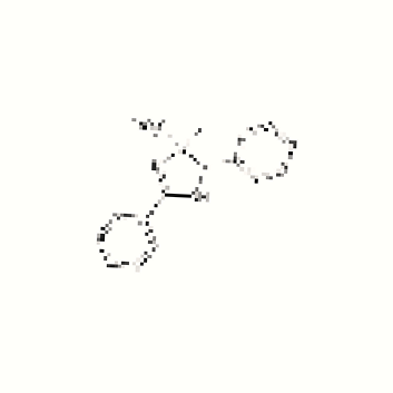 CCOC(=O)[C@@]1(C)N=C(c2ccccc2)N[C@H]1c1ccncc1